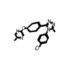 Cc1cnc(OC2CCC(c3nnc(C)n3-c3ccc(Cl)cc3)CC2)cn1